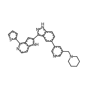 c1csc(-c2nccc3[nH]c(-c4n[nH]c5ccc(-c6cncc(CN7CCCCC7)c6)cc45)cc23)c1